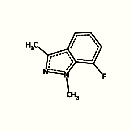 Cc1nn(C)c2c(F)cccc12